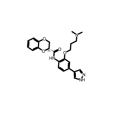 CN(C)CCCOc1cc(-c2cn[nH]c2)ccc1NC(=O)[C@H]1COc2ccccc2O1